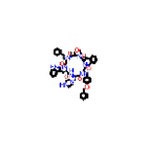 O=C1N[C@@H](Cc2ccc(OCc3ccccc3)cc2)C(=O)N2Cc3ccccc3C[C@H]2C(=O)N2CCOC[C@H]2C(=O)N[C@H](CCc2ccccc2)C(=O)N[C@H](Cc2c[nH]c3ccccc23)C(=O)N[C@H]1CN1CCNCC1